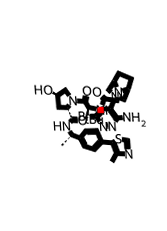 Cc1ncsc1-c1ccc([C@H](C)NC(=O)[C@@H]2C[C@@H](O)CN2C(=O)[C@@H](NC(=O)CN2C3CCC2CN(c2cc(Br)nnc2N)C3)C(C)(C)C)cc1